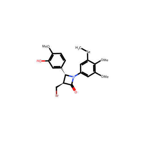 COc1ccc([C@H]2[C@H](CBr)C(=O)N2c2cc(OC)c(OC)c([Se]C)c2)cc1O